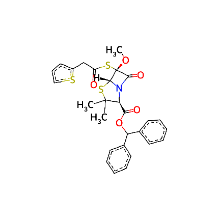 CO[C@@]1(SC(=O)Cc2cccs2)C(=O)N2[C@@H](C(=O)OC(c3ccccc3)c3ccccc3)C(C)(C)S[C@@H]21